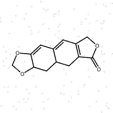 O=C1OCC2=C1CC1CC3OCOC3=CC1=C2